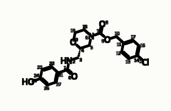 O=C(NC[C@H]1CN(C(=O)OCc2ccc(Cl)cc2)CCO1)c1ccc(O)cc1